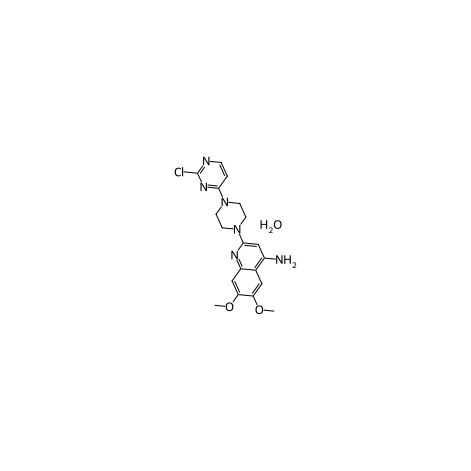 COc1cc2nc(N3CCN(c4ccnc(Cl)n4)CC3)cc(N)c2cc1OC.O